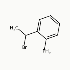 CC(Br)c1ccccc1P